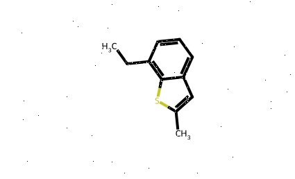 CCc1cccc2cc(C)sc12